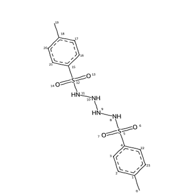 Cc1ccc(S(=O)(=O)NNNNS(=O)(=O)c2ccc(C)cc2)cc1